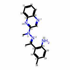 C/C(=N\N(C)c1cnc2ccccc2n1)c1cc(C)ccc1N